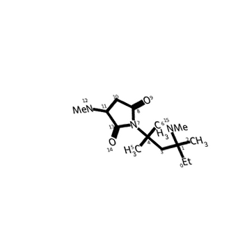 CCC(C)(CC(C)(C)N1C(=O)CC(NC)C1=O)NC